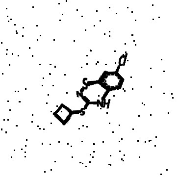 Clc1ccc2c(c1)SN=C(SC1CCC1)N2